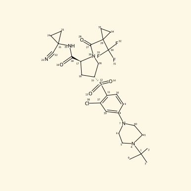 CC(C)(C)N1CCN(c2ccc(S(=O)(=O)[C@@H]3C[C@@H](C(=O)NC4(C#N)CC4)N(C(=O)C4(C(F)(F)F)CC4)C3)c(Cl)c2)CC1